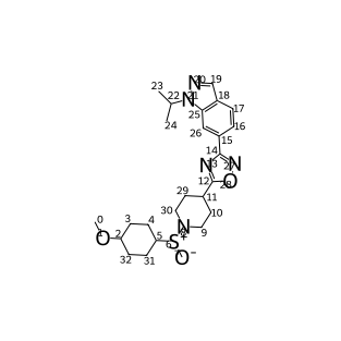 COC1CCC([S+]([O-])N2CCC(c3nc(-c4ccc5cnn(C(C)C)c5c4)no3)CC2)CC1